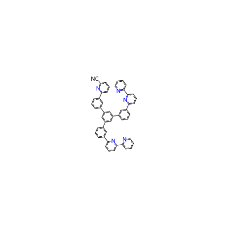 N#Cc1cccc(-c2cccc(-c3cc(-c4cccc(-c5cccc(-c6ccccn6)n5)c4)cc(-c4cccc(-c5cccc(-c6ccccn6)n5)c4)c3)c2)n1